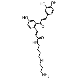 NCCCNCCCCNC(=O)/C=C/c1ccc(O)cc1C(=O)/C=C/c1ccc(O)c(O)c1